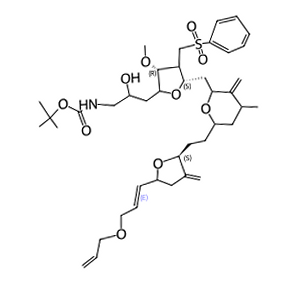 C=CCOC/C=C/C1CC(=C)[C@H](CCC2CC(C)C(=C)C(C[C@@H]3OC(CC(O)CNC(=O)OC(C)(C)C)[C@H](OC)C3CS(=O)(=O)c3ccccc3)O2)O1